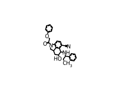 CCC(NC1c2c(C#N)ccc3c2C(CC1O)CN3C(=O)COc1ccccc1)c1ccccc1